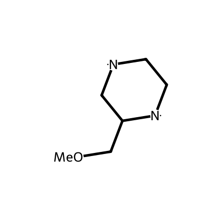 COCC1C[N]CC[N]1